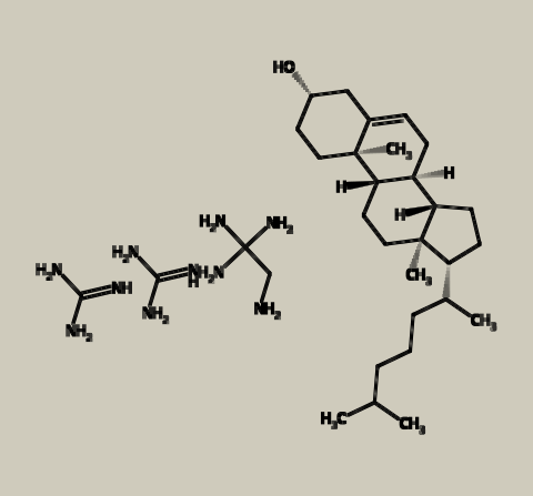 CC(C)CCCC(C)[C@H]1CC[C@H]2[C@@H]3CC=C4C[C@@H](O)CC[C@]4(C)[C@H]3CC[C@]12C.N=C(N)N.N=C(N)N.NCC(N)(N)N